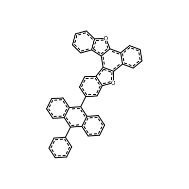 c1ccc(-c2c3ccccc3c(-c3ccc4c(c3)oc3c5ccccc5c5oc6ccccc6c5c43)c3ccccc23)cc1